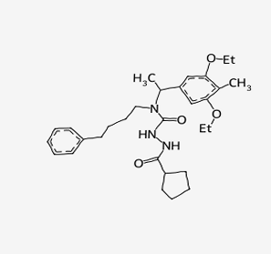 CCOc1cc(C(C)N(CCCCc2ccccc2)C(=O)NNC(=O)C2CCCC2)cc(OCC)c1C